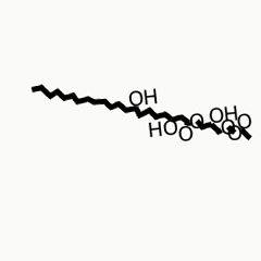 CCCCCCCCCCCCCC(O)CCCCC(O)CC(=O)OCC(O)COOC(C)=O